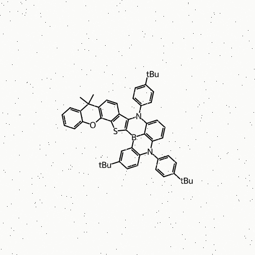 CC(C)(C)c1ccc(N2c3ccc(C(C)(C)C)cc3B3c4sc5c6c(ccc5c4N(c4ccc(C(C)(C)C)cc4)c4cccc2c43)C(C)(C)c2ccccc2O6)cc1